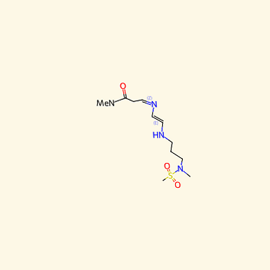 CNC(=O)C/C=N\C=C\NCCCN(C)S(C)(=O)=O